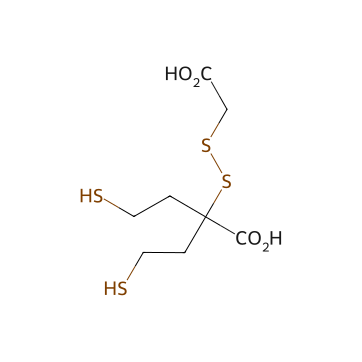 O=C(O)CSSC(CCS)(CCS)C(=O)O